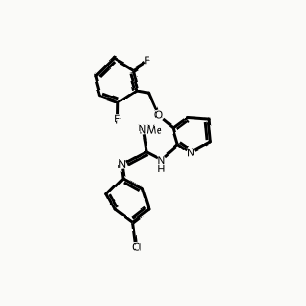 CNC(=Nc1ccc(Cl)cc1)Nc1ncccc1OCc1c(F)cccc1F